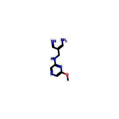 COc1cncc(NC/C(C=N)=C/N)n1